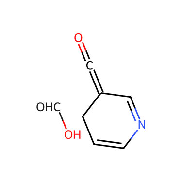 O=C=C1C=NC=CC1.O=CO